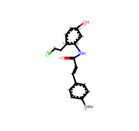 COc1ccc(C=CC(=O)Nc2cc(O)ccc2CCCl)cc1